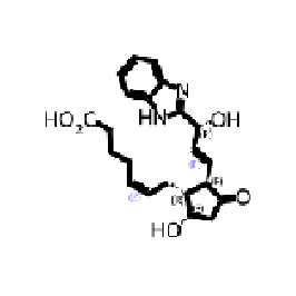 O=C(O)CCC/C=C\C[C@H]1[C@@H](O)CC(=O)[C@@H]1/C=C/[C@@H](O)c1nc2ccccc2[nH]1